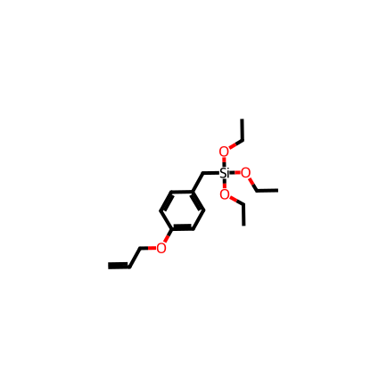 C=CCOc1ccc(C[Si](OCC)(OCC)OCC)cc1